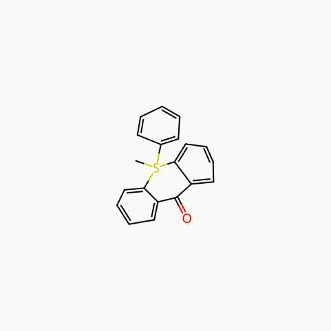 CS1(c2ccccc2)c2ccccc2C(=O)c2ccccc21